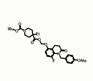 CCC1(C(=O)OCOc2ccc(F)c3c2CCC(=O)N3Cc2ccc(OC)cc2)CCN(C(=O)OC(C)(C)C)CC1